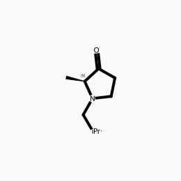 C[C](C)CN1CCC(=O)[C@@H]1C